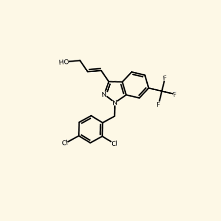 OCC=Cc1nn(Cc2ccc(Cl)cc2Cl)c2cc(C(F)(F)F)ccc12